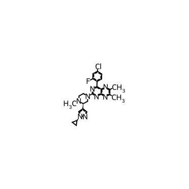 Cc1nc2nc(N3CCN(C)[C@H](c4cnn(C5CC5)c4)C3)nc(-c3ccc(Cl)cc3F)c2nc1C